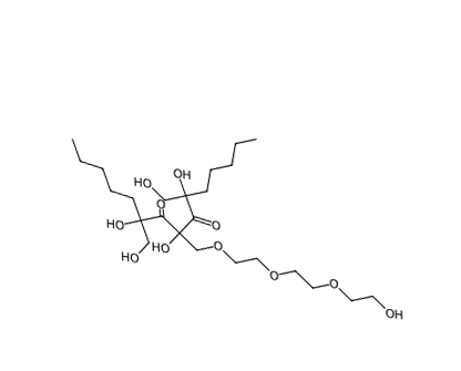 CCCCCC(O)(CO)C(=O)C(O)(COCCOCCOCCO)C(=O)C(O)(CO)CCCCC